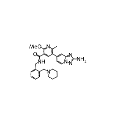 COc1nc(C)c(-c2ccn3nc(N)nc3c2)cc1C(=O)NCc1ccccc1CN1CCCCC1